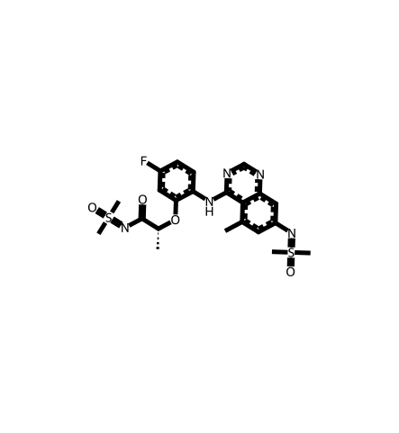 Cc1cc(N=S(C)(C)=O)cc2ncnc(Nc3ccc(F)cc3O[C@H](C)C(=O)N=S(C)(C)=O)c12